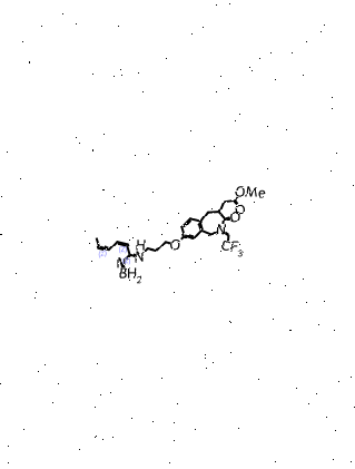 B/N=C(/C=C\C=C/C)NCCCOc1ccc2c(c1)CN(CC(F)(F)F)C(=O)C(CC(=O)OC)C2